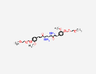 COCCOCOc1ccc(C=CC(=O)C(N)CCC(N)C(=O)C=Cc2ccc(OCOCCOC)c(OC)c2)cc1OC